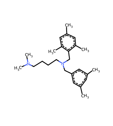 Cc1cc(C)cc(CN(CCCCN(C)C)Cc2c(C)cc(C)cc2C)c1